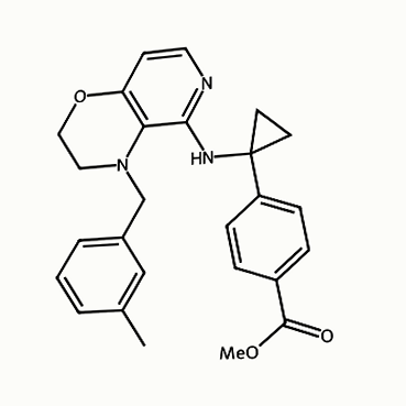 COC(=O)c1ccc(C2(Nc3nccc4c3N(Cc3cccc(C)c3)CCO4)CC2)cc1